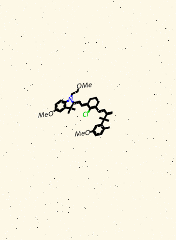 C=C(/C=C/C1=C(Cl)C(=C/C=C2/N(CCOC)c3ccc(OC)cc3C2(C)C)/CCC1)C(C)(C)c1cc(OC)ccc1C